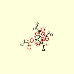 C=CC(=O)OCC(C)(C)C(OC(=O)C=C)(OC(=O)C=C)OC(=O)C=C